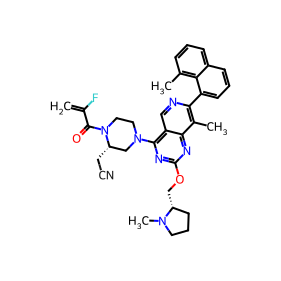 C=C(F)C(=O)N1CCN(c2nc(OC[C@@H]3CCCN3C)nc3c(C)c(-c4cccc5cccc(C)c45)ncc23)C[C@@H]1CC#N